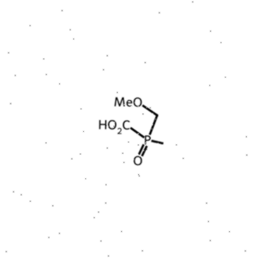 COCP(C)(=O)C(=O)O